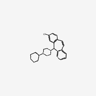 Clc1ccc2c(c1)C(C1CCN(C3CCCCC3)CC1)c1ccccc1C=C2